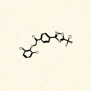 O=C(COc1c(Cl)cccc1Cl)c1ccc(-c2noc(C(F)(F)Cl)n2)cc1